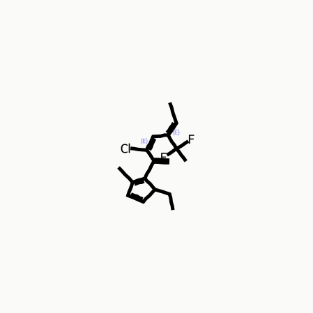 C=C(C1=C(C)C=CC1CC)/C(Cl)=C\C(=C/C)C(C)(F)F